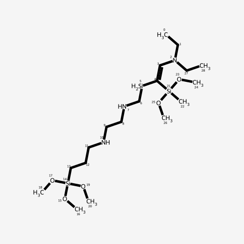 CCN(C=C([SiH2]CNCCNCCC[Si](OC)(OC)OC)[Si](C)(OC)OC)CC